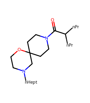 CCCCCCCN1CCOC2(CCN(C(=O)C(CCC)CCC)CC2)C1